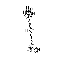 O=C(CCCC[C@@H]1SC[C@@H]2NC(=O)N[C@@H]21)NCCCCCCOP(=O)(O)c1cnc[nH]1